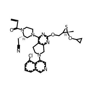 C=CC(=O)N1CCN(c2nc(OCC3S[C@]3(C)OC3CC3)nc3c2CCN(c2cncc4cccc(Cl)c24)C3)C[C@@H]1CC#N